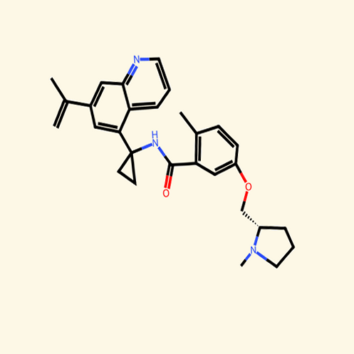 C=C(C)c1cc(C2(NC(=O)c3cc(OC[C@@H]4CCCN4C)ccc3C)CC2)c2cccnc2c1